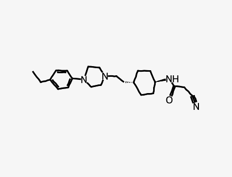 CCc1ccc(N2CCN(CC[C@H]3CC[C@H](NC(=O)CC#N)CC3)CC2)cc1